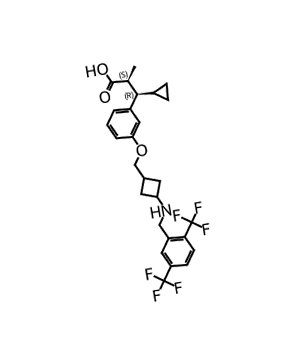 C[C@H](C(=O)O)[C@H](c1cccc(OCC2CC(NCc3cc(C(F)(F)F)ccc3C(F)(F)F)C2)c1)C1CC1